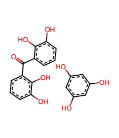 O=C(c1cccc(O)c1O)c1cccc(O)c1O.Oc1cc(O)cc(O)c1